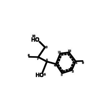 Cc1ccc(C(O)C(C)CO)cc1